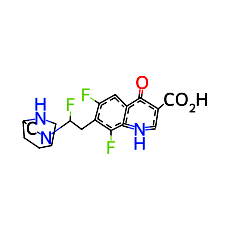 O=C(O)c1c[nH]c2c(F)c(CC(F)N3CC4CCC3CN4)c(F)cc2c1=O